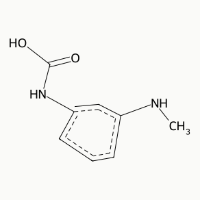 CNc1cccc(NC(=O)O)c1